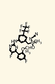 COc1cc(F)ccc1-c1nc(Nc2cc(C[SH](C)(O)=NC#N)cc(C(F)(F)C(F)(F)F)c2)ncc1F